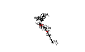 CC(N)CCSCCNC(=O)CCNC(=O)C(O)C(C)(C)COP(=O)(O)OP(=O)(O)OC[C@H]1O[C@@H](n2cnc3c(N)ncnc32)[C@H](O)[C@@H]1OP(=O)(O)O